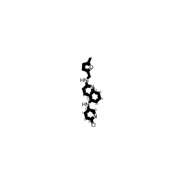 Cc1ccc(CNc2ccc3c(Nc4ccc(Cl)nc4)cccc3n2)o1